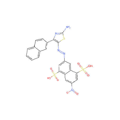 Nc1nc(-c2ccc3ccccc3c2)c(N=Nc2cc(S(=O)(=O)O)c3cc([N+](=O)[O-])cc(S(=O)(=O)O)c3c2)s1